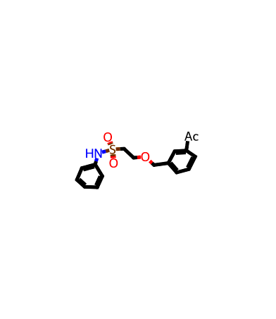 CC(=O)c1cccc(COCCS(=O)(=O)Nc2ccccc2)c1